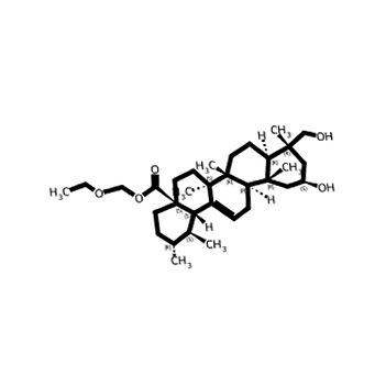 CCOCOC(=O)[C@]12CC[C@@H](C)[C@H](C)[C@H]1C1=CC[C@@H]3[C@@]4(C)C[C@H](O)C[C@@](C)(CO)[C@@H]4CC[C@@]3(C)[C@]1(C)CC2